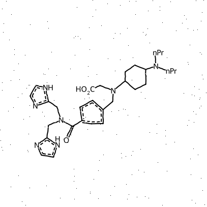 CCCN(CCC)C1CCC(N(CC(=O)O)Cc2ccc(C(=O)N(Cc3ncc[nH]3)Cc3ncc[nH]3)cc2)CC1